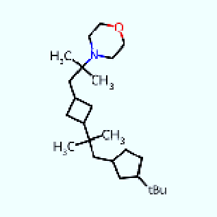 CC(C)(C)C1CCC(CC(C)(C)C2CC(CC(C)(C)N3CCOCC3)C2)C1